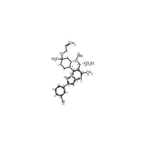 C=CCOC1(C)CCN(c2c([C@H](OC(C)(C)C)C(=O)OCC)c(C)nc3cc(-c4cccc(Br)c4)nn23)CC1